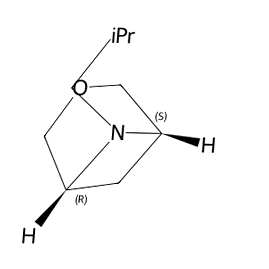 CC(C)CN1[C@@H]2COC[C@H]1C2